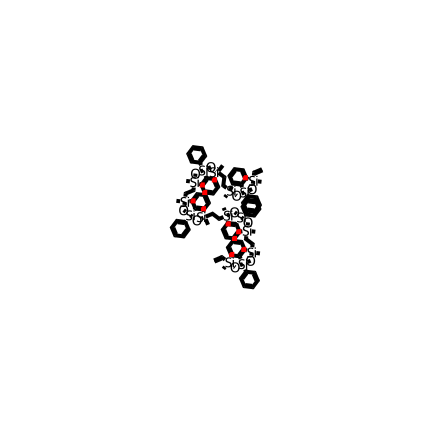 C=C[Si](C)(C)O[Si](O[Si](C)(C)CC[Si](C)(C)O[Si](O[Si](C)(C)CC[Si](C)(C)O[Si](O[Si](C)(C)CC[Si](C)(C)O[Si](O[Si](C)(C)CC[Si](C)(C)O[Si](O[Si](C)(C)C=C)(c1ccccc1)c1ccccc1)(c1ccccc1)c1ccccc1)(c1ccccc1)c1ccccc1)(c1ccccc1)c1ccccc1)(c1ccccc1)c1ccccc1